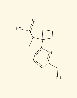 CC(C(=O)O)C1(c2cccc(CO)n2)CCC1